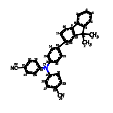 CC1(C)c2ccccc2-c2ccc(-c3ccc(N(c4ccc(C#N)cc4)c4ccc(C#N)cc4)cc3)cc21